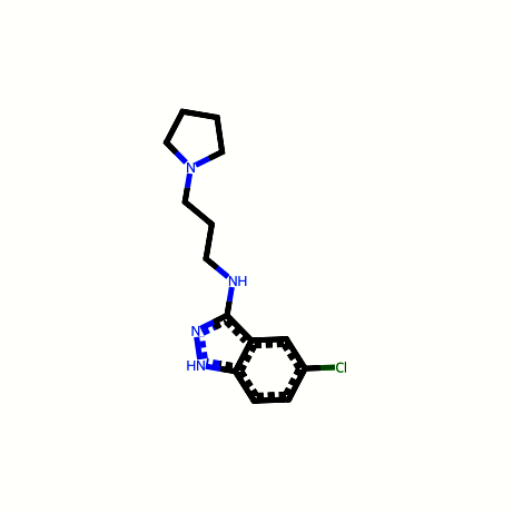 Clc1ccc2[nH]nc(NCCCN3CCCC3)c2c1